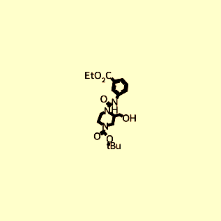 CCOC(=O)c1cccc(NC(=O)N2CCN(C(=O)OC(C)(C)C)CC2CO)c1